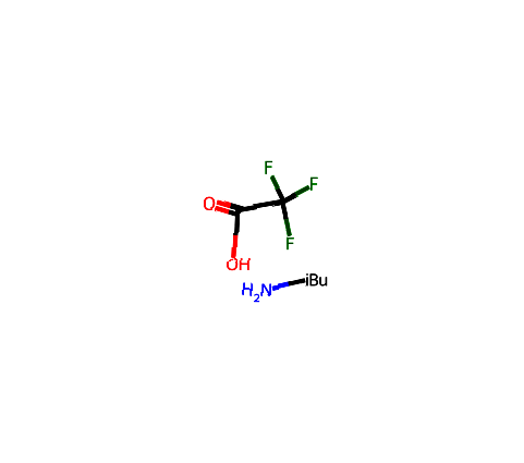 CCC(C)N.O=C(O)C(F)(F)F